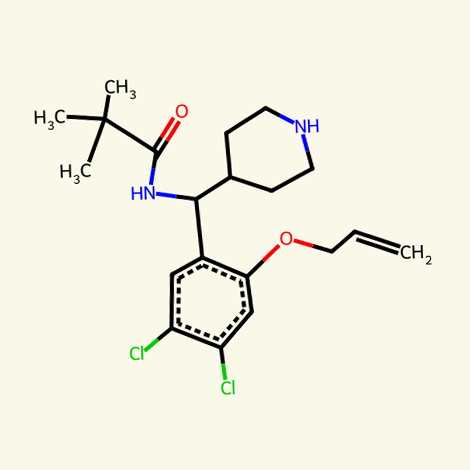 C=CCOc1cc(Cl)c(Cl)cc1C(NC(=O)C(C)(C)C)C1CCNCC1